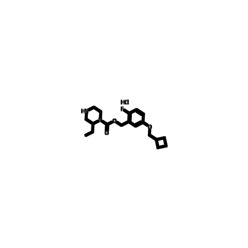 CCC1CNCCN1C(=O)OCc1cc(OCC2CCC2)ccc1F.Cl